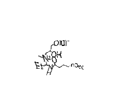 CCCCCCCCCCCCCC(=O)NC(CC)[N+](C)(C)CC(O)CO.[Cl-]